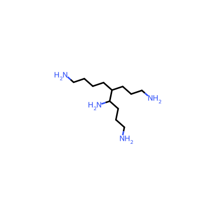 NCCCCC(CCCN)C(N)CCCN